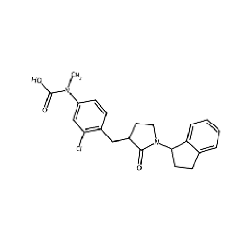 CN(C(=O)O)c1ccc(CC2CCN(C3CCc4ccccc43)C2=O)c(Cl)c1